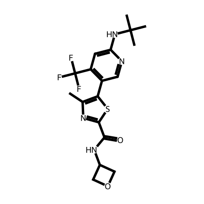 Cc1nc(C(=O)NC2COC2)sc1-c1cnc(NC(C)(C)C)cc1C(F)(F)F